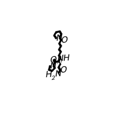 NC(=O)CC[C@H](NCCCCCC(=O)N1CCCCC1)C(=O)N1CCCC1